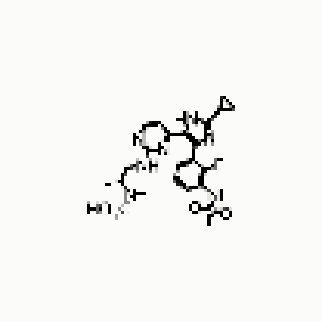 C[C@@H](CNc1nccc(-c2[nH]c(C3CC3)nc2-c2cccc(NS(C)(=O)=O)c2F)n1)N(C)C(=O)O